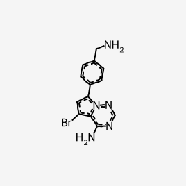 NCc1ccc(-c2cc(Br)c3c(N)ncnn23)cc1